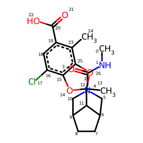 CNC(=O)N1CC2CCC(C1)C2C1(C)Oc2c(Cl)cc(C(=O)O)c(C)c2O1